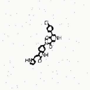 O=C1Nc2cc(NC(=O)c3c[nH]cc(-c4ccc(Cl)cc4)c3=O)ccc2/C1=C/c1ccc[nH]1